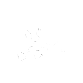 CC(C)(C)OC(=O)NC(=O)Oc1ncnc2c1c(-c1ccc(N)c3nccn13)cn2-c1cccnc1